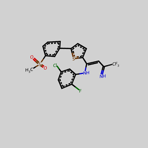 CS(=O)(=O)c1cccc(-c2ccc(/C(=C/C(=N)C(F)(F)F)Nc3cc(Cl)ccc3F)s2)c1